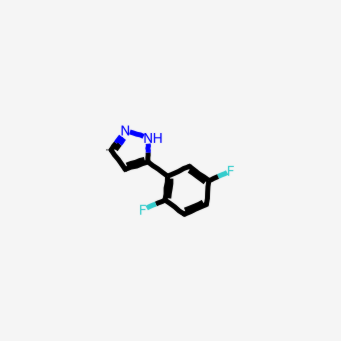 Fc1ccc(F)c(-c2c[c]n[nH]2)c1